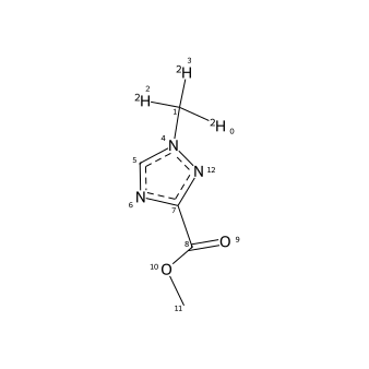 [2H]C([2H])([2H])n1cnc(C(=O)OC)n1